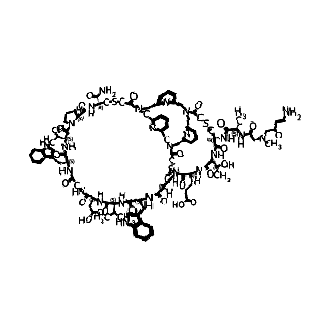 CC(C)[C@@H]1NC(=O)[C@H](Cc2c[nH]c3ccccc23)NC(=O)[C@@H]2CSCC(=O)N3Cc4cccc(n4)CN(Cc4cccc(n4)CN(Cc4cccc(n4)C3)C(=O)CSC[C@H](NC(=O)[C@H](C)NC(=O)CN(C)CC(=O)CCN)C(=O)N[C@@H]([C@@H](C)O)C(=O)N[C@@H](CCC(=O)O)C(=O)N2)C(=O)CSC[C@@H](C(N)=O)NC(=O)[C@@H]2CCCN2C(=O)[C@H](C(C)C)NC(=O)[C@H](Cc2c[nH]c3ccccc23)NC(=O)CNC(=O)[C@H](CC(=O)O)NC1=O